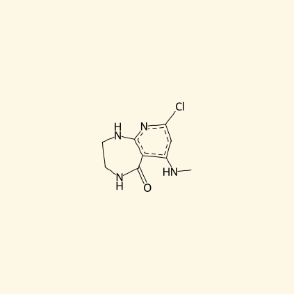 CNc1cc(Cl)nc2c1C(=O)NCCN2